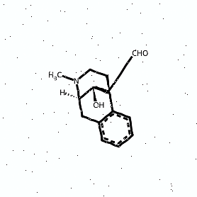 CN1CC[C@]23CC(C=O)CC[C@@]2(O)[C@H]1Cc1ccccc13